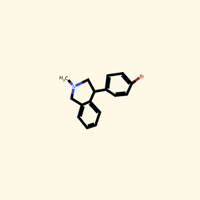 CN1Cc2ccccc2C(c2ccc(Br)cc2)C1